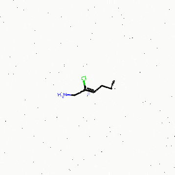 CCC/C=C(\Cl)CN